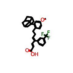 COc1ccc(CCC=C(C=CC(=O)O)c2cccc(C(F)(F)F)c2)c(C23CC4CC(CC(C4)C2)C3)c1